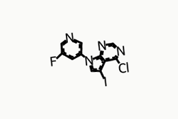 Fc1cncc(-n2cc(I)c3c(Cl)ncnc32)c1